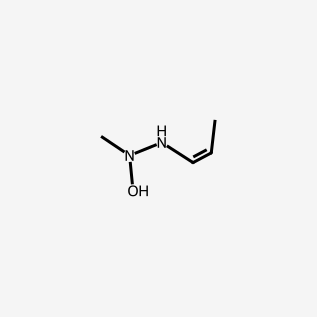 C/C=C\NN(C)O